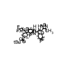 Cc1nonc1C(=O)NC(c1nc2c(F)c(C3(C(=O)N4CC(F)(F)C4)CCN(C(=O)OC(C)(C)C)CC3)ccc2[nH]1)C1CCC(F)(F)CC1